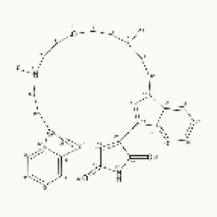 CN1CCOCCN(C)CCn2cc(c3ccccc32)C2=C(C(=O)NC2=O)c2cn(c3ccccc23)CC1